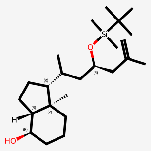 C=C(C)C[C@@H](CC(C)[C@H]1CC[C@H]2[C@H](O)CCC[C@]12C)O[Si](C)(C)C(C)(C)C